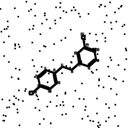 Clc1ccc(CCc2ccnc(Cl)c2)cc1